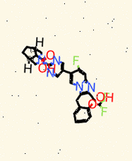 O=C(O)C1[C@@H]2CC[C@H]1CN(c1ncc(-c3cn4c(Cc5ccccc5OC(F)F)c(CO)nc4cc3F)cn1)C2